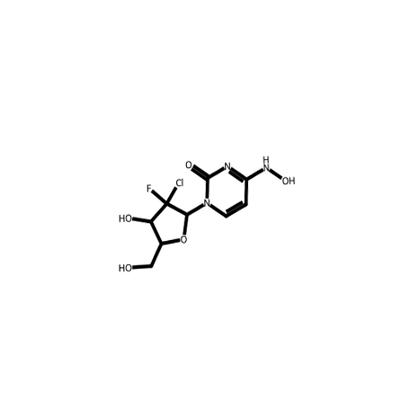 O=c1nc(NO)ccn1C1OC(CO)C(O)C1(F)Cl